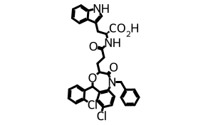 O=C(CCC1OC(c2ccccc2Cl)c2cc(Cl)ccc2N(Cc2ccccc2)C1=O)N[C@@H](Cc1c[nH]c2ccccc12)C(=O)O